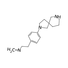 C=NCCc1ccc(N2CCC3(CCCNC3)C2)cc1